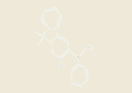 CCc1cc2c(cc1N(c1ccccc1)C(C)(C)C)-c1ccccc1C2(C)C